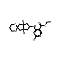 CCOC(=O)c1cnc(Cl)nc1NC1C[C@@H]2CC3(C[C@@H]2C1)OCCCO3